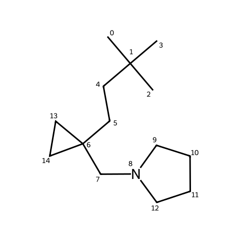 CC(C)(C)CCC1(CN2CCCC2)CC1